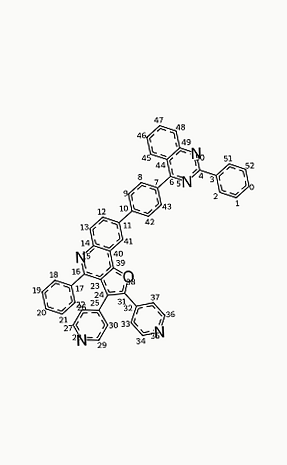 c1ccc(-c2nc(-c3ccc(-c4ccc5nc(-c6ccccc6)c6c(-c7ccncc7)c(-c7ccncc7)oc6c5c4)cc3)c3ccccc3n2)cc1